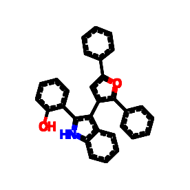 Oc1ccccc1-c1[nH]c2ccccc2c1-c1cc(-c2ccccc2)oc1-c1ccccc1